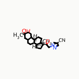 C[C@@]1(O)CCC2C(CCC3[C@@H]2CC[C@]2(C)[C@@H](C(=O)Cn4cc(C#N)cn4)CC[C@@H]32)C1